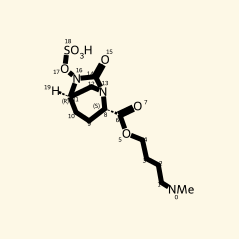 CNCCCCOC(=O)[C@@H]1CC[C@@H]2CN1C(=O)N2OS(=O)(=O)O